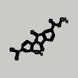 COC(=O)c1ccc2c(c1)C(=O)N(c1ccc([N+](=O)[O-])cc1C)C2=O